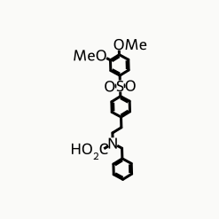 COc1ccc(S(=O)(=O)c2ccc(CCN(Cc3ccccc3)C(=O)O)cc2)cc1OC